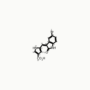 O=C1Nc2ccc(Br)cc2/C1=C/c1cc(C(=O)O)c[nH]1